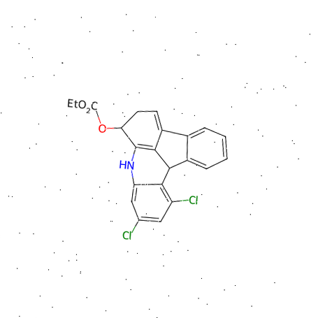 CCOC(=O)OC1CC=C2C3=C1Nc1cc(Cl)cc(Cl)c1C3c1ccccc12